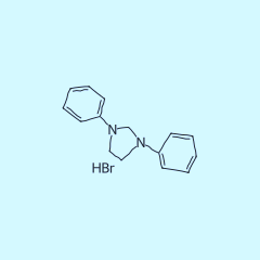 Br.c1ccc(N2CCN(c3ccccc3)C2)cc1